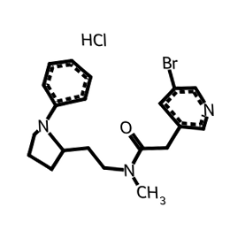 CN(CCC1CCCN1c1ccccc1)C(=O)Cc1cncc(Br)c1.Cl